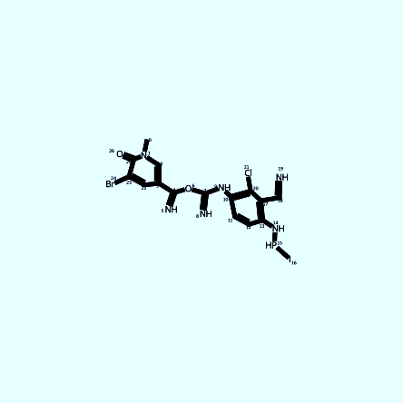 Cn1cc(C(=N)OC(=N)Nc2ccc(NPI)c(C=N)c2Cl)cc(Br)c1=O